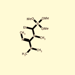 CCC(N(C)/C(=N\C)N(C)C)[Si](OC)(OC)OC